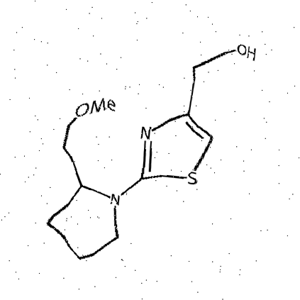 COCC1CCCN1c1nc(CO)cs1